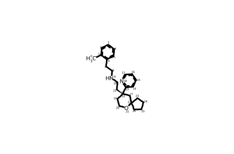 Cc1ccccc1CCNCC[C@]1(c2ccccn2)CCOC2(CCCC2)C1